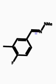 CN/N=C/c1ccc(F)c(C)c1